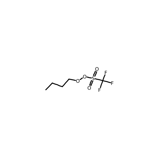 CCCCOOS(=O)(=O)C(F)(F)F